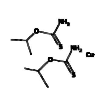 CC(C)OC(N)=S.CC(C)OC(N)=S.[Cu]